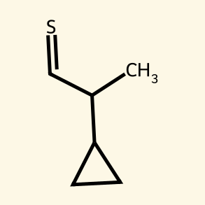 CC(C=S)C1CC1